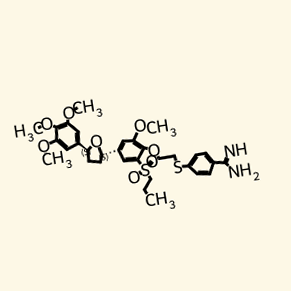 CCCS(=O)(=O)c1cc([C@@H]2CC[C@@H](c3cc(OC)c(OC)c(OC)c3)O2)cc(OC)c1OCCSc1ccc(C(=N)N)cc1